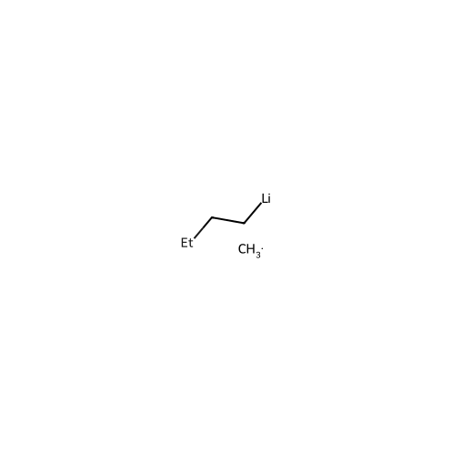 [CH3].[Li][CH2]CCC